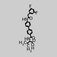 CC(C)[C@@H](NC(=O)c1ccc(-c2ccc(NC(=O)Cc3cc(F)cc(F)c3)cc2)cc1)C(=O)O